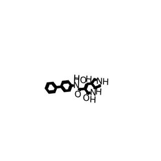 O=C(Nc1ccc(-c2ccccc2)cc1)C1=C(O)[C@@H]2CNC[C@H]2NC1=O